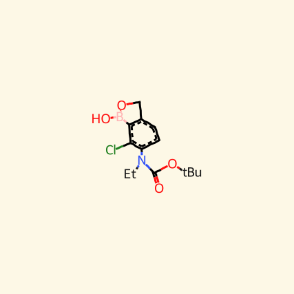 CCN(C(=O)OC(C)(C)C)c1ccc2c(c1Cl)B(O)OC2